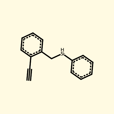 C#Cc1ccccc1C[SiH]c1ccccc1